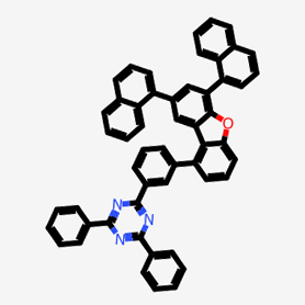 c1ccc(-c2nc(-c3ccccc3)nc(-c3cccc(-c4cccc5oc6c(-c7cccc8ccccc78)cc(-c7cccc8ccccc78)cc6c45)c3)n2)cc1